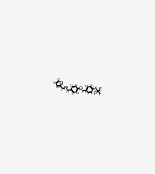 FC(F)(F)Sc1ccc(COc2ccc(C=NCc3ccco3)cc2)cc1